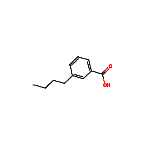 [CH2]CCCc1cccc(C(=O)O)c1